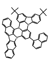 CC(C)(C)c1ccc2c(c1)c1cc(C(C)(C)C)cc3c1n2-c1cc(-c2cccc4ccccc24)cc2c1B3c1c3ccccc3cc3c4cc5ccccc5cc4n-2c13